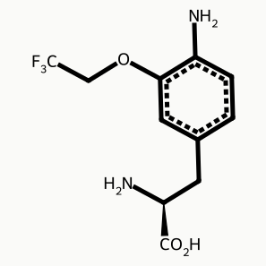 Nc1ccc(C[C@H](N)C(=O)O)cc1OCC(F)(F)F